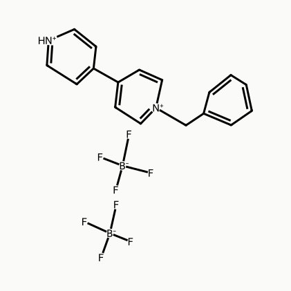 F[B-](F)(F)F.F[B-](F)(F)F.c1ccc(C[n+]2ccc(-c3cc[nH+]cc3)cc2)cc1